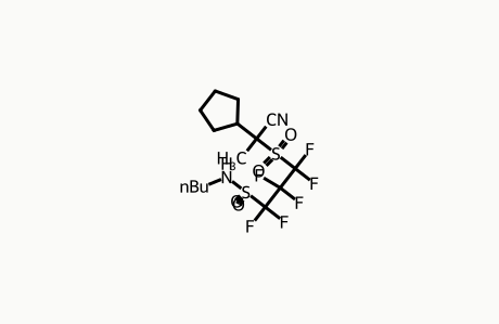 CCCCNS(=O)(=O)C(F)(F)C(F)(F)C(F)(F)S(=O)(=O)C(C)(C#N)C1CCCC1